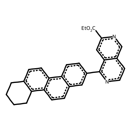 CCOC(=O)c1cc2c(-c3ccc4c(ccc5c6c(ccc54)CCCC6)c3)nccc2cn1